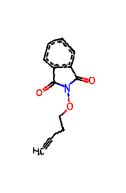 C#CCCON1C(=O)c2ccccc2C1=O